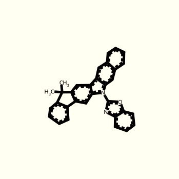 CC1(C)c2ccccc2-c2cc3c(cc21)c1cc2ccccc2cc1n3-c1nc2ccccc2o1